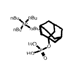 CCCC[N+](CCCC)(CCCC)CCCC.O=P(O)(O)OC12CC3CC(CC(C3)C1)C2